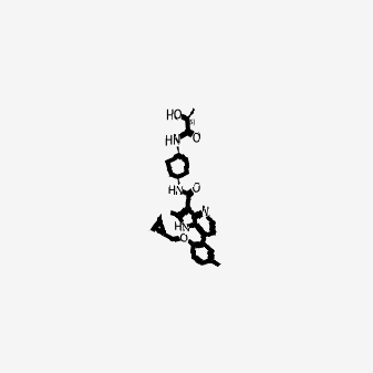 Cc1ccc(OCC2CC2)c(-c2ccnc3c(C(=O)N[C@H]4CC[C@@H](NC(=O)[C@H](C)O)CC4)c(C)[nH]c23)c1